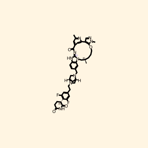 Cc1cc2cc(n1)-c1cnn(C)c1OCCC[C@@H](C)CN1/C(=N/C2=O)Nc2ccc(CN3C[C@@H]4C[C@H]3CN4CCc3cc(F)c([C@H]4CCC(=O)NC4=O)c(F)c3)cc21